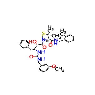 COc1cccc(CNC(=O)NC(Cc2ccccc2)C(O)C(=O)N2CSC(C)(C)[C@H]2C(=O)NCc2ccccc2C)c1